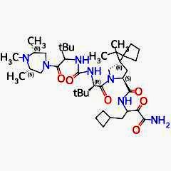 C[C@@H]1CN(C(=O)C(NC(=O)N[C@@H](C(=O)N2C[C@]3(C[C@H]2C(=O)NC(CC2CCC2)C(=O)C(N)=O)C(C)(C)C32CCC2)C(C)(C)C)C(C)(C)C)C[C@H](C)N1C